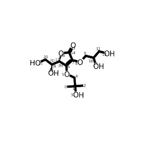 CC(C)(O)COC1=C(OCC(O)CO)C(=O)O[C@@H]1[C@@H](O)CO